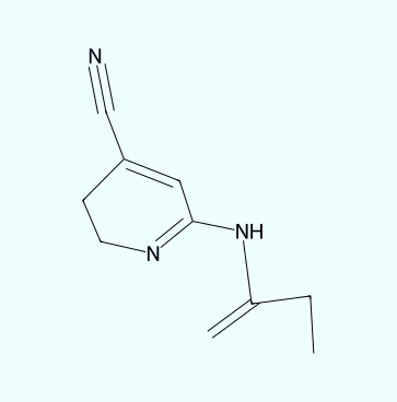 C=C(CC)NC1=NCCC(C#N)=C1